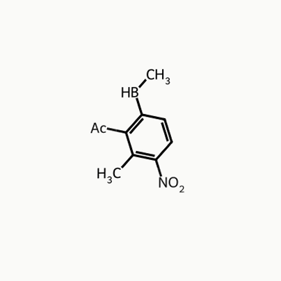 CBc1ccc([N+](=O)[O-])c(C)c1C(C)=O